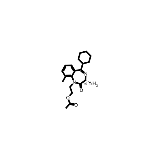 CC(=O)OCCN1C(=O)[C@@H](N)N=C(C2CCCCC2)c2cccc(C)c21